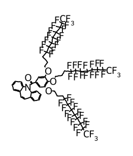 O=C(c1cc(OCCCC(F)(F)C(F)(F)C(F)(F)C(F)(F)C(F)(F)C(F)(F)C(F)(F)C(F)(F)F)c(OCCCC(F)(F)C(F)(F)C(F)(F)C(F)(F)C(F)(F)C(F)(F)C(F)(F)C(F)(F)F)c(OCCCC(F)(F)C(F)(F)C(F)(F)C(F)(F)C(F)(F)C(F)(F)C(F)(F)C(F)(F)F)c1)N1c2ccccc2C=Cc2ccccc21